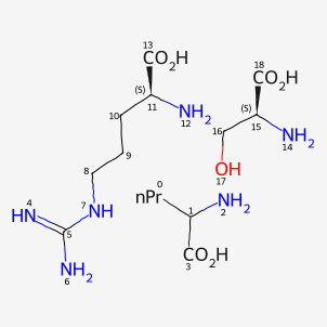 CCCC(N)C(=O)O.N=C(N)NCCC[C@H](N)C(=O)O.N[C@@H](CO)C(=O)O